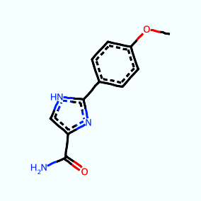 COc1ccc(-c2nc(C(N)=O)c[nH]2)cc1